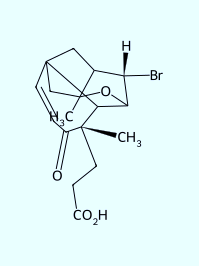 CC12CC34C=CC(=O)[C@@](C)(CCC(=O)O)C3C(O1)[C@@H](Br)C2C4